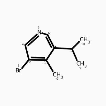 Cc1c(Br)cncc1C(C)C